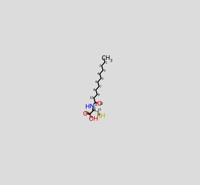 CCCCCCCCCCCC(=O)N[C@H](CS)C(=O)O